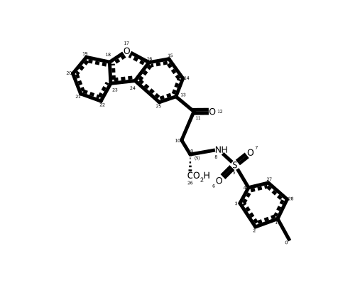 Cc1ccc(S(=O)(=O)N[C@@H](CC(=O)c2ccc3oc4ccccc4c3c2)C(=O)O)cc1